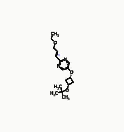 CCOC/C=C/c1ncc(O[C@H]2C[C@H](OC(C)(C)C)C2)cn1